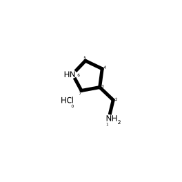 Cl.NCC1CCNC1